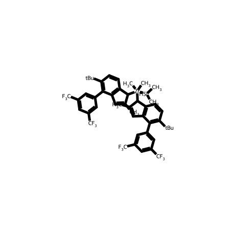 CC1=Cc2c(ccc(C(C)(C)C)c2-c2cc(C(F)(F)F)cc(C(F)(F)F)c2)[CH]1[Zr]([CH3])([CH3])([CH]1C(C)=Cc2c1ccc(C(C)(C)C)c2-c1cc(C(F)(F)F)cc(C(F)(F)F)c1)[SiH](C)C